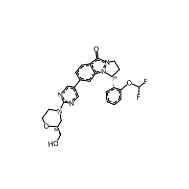 O=c1c2ccc(-c3cnc(N4CCO[C@H](CO)C4)nc3)cc2n2n1CC[C@@H]2c1ccccc1OC(F)F